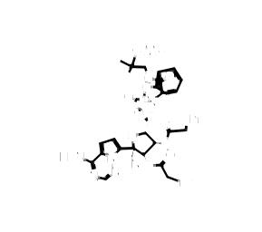 COC(C)(C)COC(=O)[C@H](C)N[P@](=O)(OC[C@H]1O[C@@](C#N)(c2ccc3c(N)ncnn23)[C@H](OC(=O)CC(C)C)[C@@H]1OC(=O)CC(C)C)Oc1ccccc1